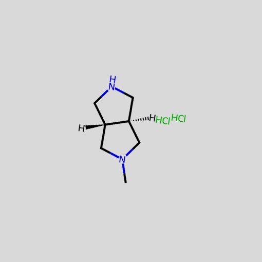 CN1C[C@@H]2CNC[C@H]2C1.Cl.Cl